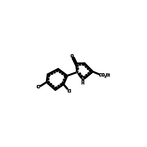 CCOC(=O)c1cc(=O)n(-c2ccc(Cl)cc2Cl)[nH]1